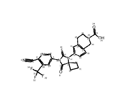 N#Cc1ncc(N2C(=O)C3(CCC3)N(c3ccc4c(c3)CCN(C(=O)O)C4)C2=S)cc1C(F)(F)F